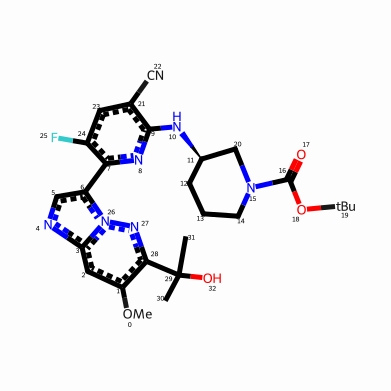 COc1cc2ncc(-c3nc(N[C@@H]4CCCN(C(=O)OC(C)(C)C)C4)c(C#N)cc3F)n2nc1C(C)(C)O